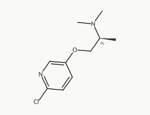 C[C@@H](COc1ccc(Cl)nc1)N(C)C